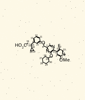 COc1cc(-c2ncc(COc3cccc([C@@H](CC(=O)O)C4CC4)c3)nc2OC2CCCCC2)c(F)cn1